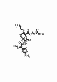 C=CCSC1=C(C(=O)OCOC(=O)C(C)(C)C)N2C(=O)[C@@H](NC(=O)/C(=N\O)c3csc(N)n3)[C@@H]2SC1